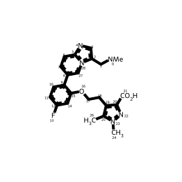 CNCc1cnc2ccc(-c3ccc(F)cc3OCCc3c(C(=O)O)nn(C)c3C)cn12